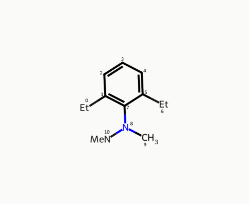 CCc1cccc(CC)c1N(C)NC